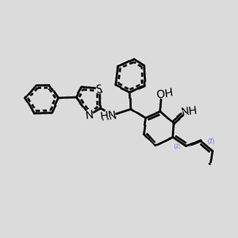 C/C=C\C=C1\C=CC(C(Nc2nc(-c3ccccc3)cs2)c2ccccc2)=C(O)C1=N